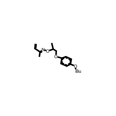 C=C/C(C)=N/OC(C)COc1ccc(OC(C)CC)cc1